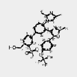 Cc1cn(-c2ccc(-c3ccc(CO)c(S(C)(=O)=O)c3)cc2-c2nc(C)oc2-c2ccc(OC(F)(F)F)cc2)c(C)n1